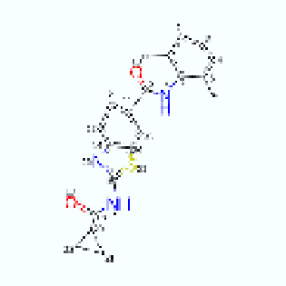 Cc1cccc(C)c1NC(=O)c1ccc2nc(NC(=O)C3CC3)sc2c1